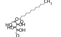 CCCCCCCCCCCC(=O)O[C@H](CO)[C@@H](O)[C@H](O)[C@@H](O)C=O